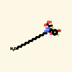 CCCCCCCCCCCCCCCCCCNC(=O)C1(c2ccc(F)c(Br)c2)N[C@H](C(=O)O)CS1